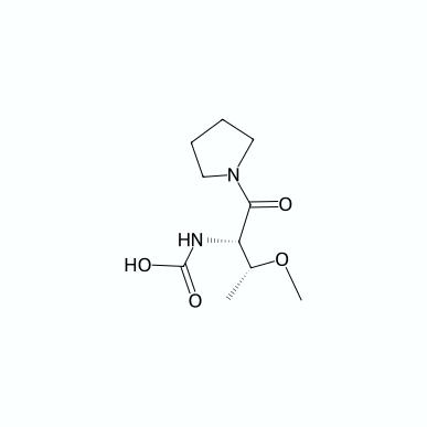 CO[C@H](C)[C@H](NC(=O)O)C(=O)N1CCCC1